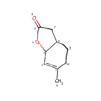 CC1=CC2OC(=O)CC2CC1